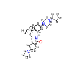 CC1(C)CCN(C(=O)c2ccc(N3CCCC3)cc2)Cc2cc(N3CCN(C4CCCC4)CC3)ccc21